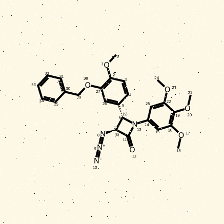 COc1ccc([C@H]2[C@H](N=[N+]=[N-])C(=O)N2c2cc(OC)c(OC)c(OC)c2)cc1OCc1ccccc1